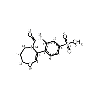 CS(=O)(=O)c1ccc(C2=COCCCN2C=O)c(F)c1